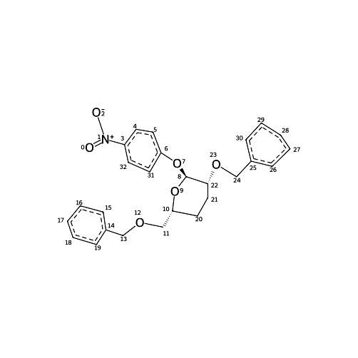 O=[N+]([O-])c1ccc(O[C@@H]2O[C@@H](COCc3ccccc3)CC[C@H]2OCc2ccccc2)cc1